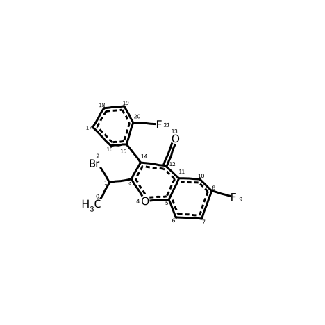 CC(Br)c1oc2ccc(F)cc2c(=O)c1-c1ccccc1F